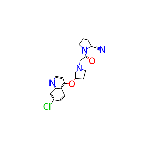 N#C[C@@H]1CCCN1C(=O)CN1CC[C@H](Oc2ccnc3cc(Cl)ccc23)C1